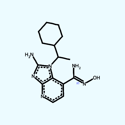 CC(C1CCCCC1)n1c(N)nc2nccc(/C(N)=N/O)c21